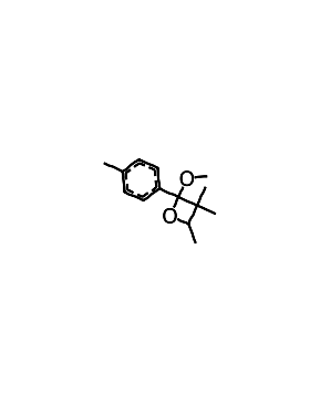 COC1(c2ccc(C)cc2)OC(C)C1(C)C